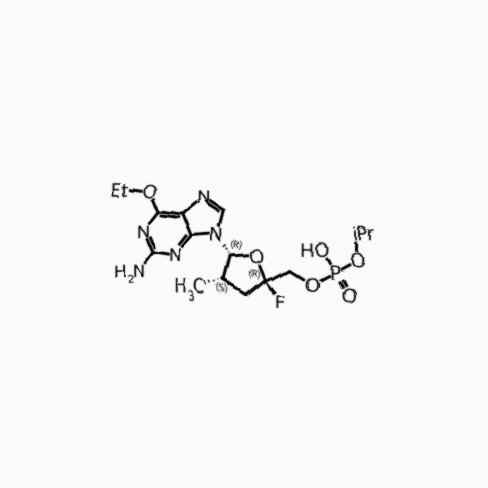 CCOc1nc(N)nc2c1ncn2[C@@H]1O[C@](F)(COP(=O)(O)OC(C)C)C[C@@H]1C